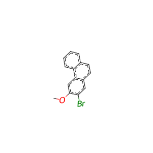 COc1cc2c(ccc3ccccc32)cc1Br